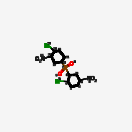 O=[N+]([O-])c1ccc(Br)c(S(=O)(=O)c2ccc(Br)c([N+](=O)[O-])c2)c1